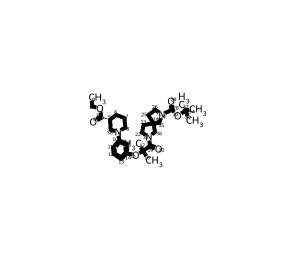 CCOC(=O)[C@@H]1CCCN(c2cccc(OC(C)(C)C(=O)N3CCC4(CCN(C(=O)OC(C)(C)C)C4)C3)c2)C1